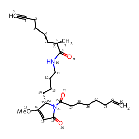 C#CCCCC[C@@H](C)C(=O)NCCCC[C@H]1C(OC)=CC(=O)N1C(=O)CCCCCC=C